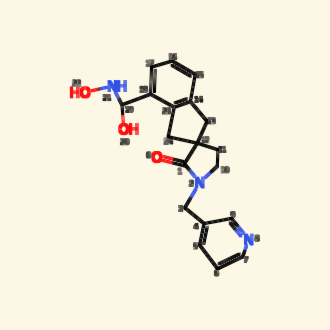 O=C1N(Cc2cccnc2)CCC12Cc1cccc(C(O)NO)c1C2